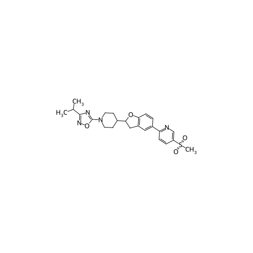 CC(C)c1noc(N2CCC(C3Cc4cc(-c5ccc(S(C)(=O)=O)cn5)ccc4O3)CC2)n1